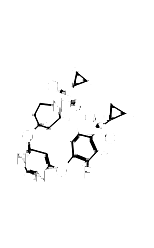 O=S(=O)(c1ccc(Oc2cc(OC3CCN(S(=O)(=O)C4CC4)CC3)ncn2)c(F)c1)C1CC1